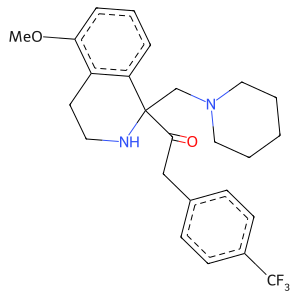 COc1cccc2c1CCNC2(CN1CCCCC1)C(=O)Cc1ccc(C(F)(F)F)cc1